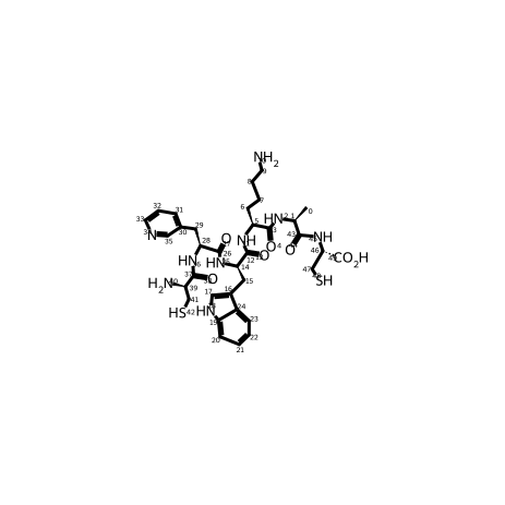 C[C@H](NC(=O)[C@H](CCCCN)NC(=O)[C@@H](Cc1c[nH]c2ccccc12)NC(=O)[C@H](Cc1cccnc1)NC(=O)[C@H](N)CS)C(=O)N[C@@H](CS)C(=O)O